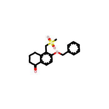 CS(=O)(=O)Cc1c(OCc2ccccc2)ccc2c1CCCC2=O